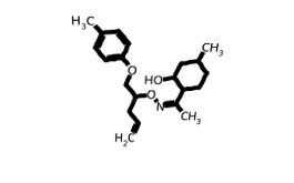 C=CCC(COc1ccc(C)cc1)ON=C(C)C1CCC(C)CC1O